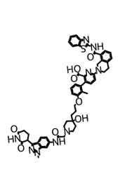 Cc1c(OCCCC2(O)CCN(CC(=O)Nc3ccc4c(C5CCC(=O)NC5=O)nn(C)c4c3)CC2)cccc1-c1ccc(N2CCc3cccc(C(=O)Nc4nc5ccccc5s4)c3C2)nc1C(=O)O